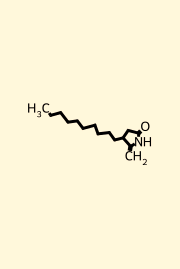 C=C1NC(=O)CC1CCCCCCCCCC